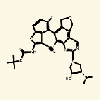 CN(C)[C@H]1CN(c2ncc3c4c(c(-c5c(F)ccc6sc(NC(=O)OC(C)(C)C)c(C#N)c56)c(F)c3n2)COC4)C[C@H]1O